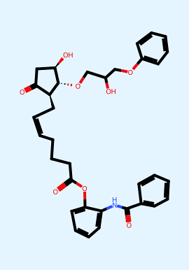 O=C(CCC/C=C\C[C@H]1C(=O)C[C@@H](O)[C@@H]1OCC(O)COc1ccccc1)Oc1ccccc1NC(=O)c1ccccc1